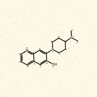 CN(C)C1CCN(c2cc3ncccc3cc2O)CC1